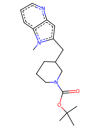 Cn1c(CC2CCCN(C(=O)OC(C)(C)C)C2)cc2ncccc21